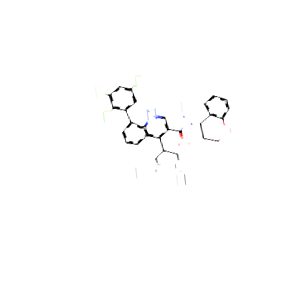 CCC(CC)c1c(C(=O)N[C@H]2CCOc3ccccc32)cnc2c(-c3cc(F)cc(F)c3F)cccc12